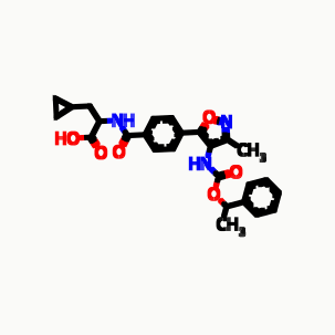 Cc1noc(-c2ccc(C(=O)NC(CC3CC3)C(=O)O)cc2)c1NC(=O)OC(C)c1ccccc1